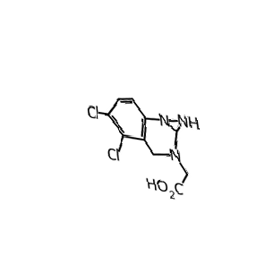 O=C(O)CN1Cc2c(ccc(Cl)c2Cl)N2NC12